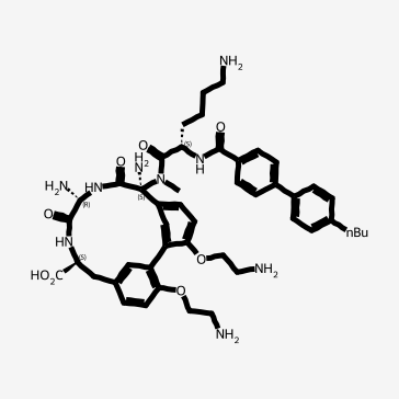 CCCCc1ccc(-c2ccc(C(=O)N[C@@H](CCCCN)C(=O)N(C)[C@]3(N)C(=O)N[C@@H](N)C(=O)N[C@H](C(=O)O)Cc4ccc(OCCN)c(c4)-c4cc3ccc4OCCN)cc2)cc1